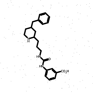 O=C(NCCCC1CC(Cc2ccccc2)CCN1)Nc1cccc(C(=O)O)c1